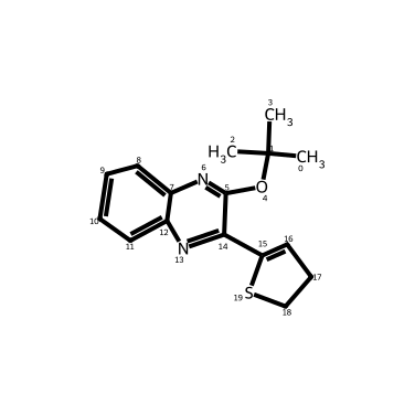 CC(C)(C)Oc1nc2ccccc2nc1C1=CCCS1